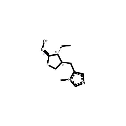 CC[C@H]1/C(=N\O)SC[C@@H]1Cc1cncn1C